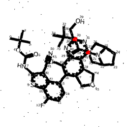 CC(C)(C)OC(=O)Nc1sc2c(F)ccc(-c3c4c(c5c(N6C7CCC6CN(C(=O)OC(C)(C)C)C7)nc(CO)nc5c3Cl)COC4)c2c1C#N